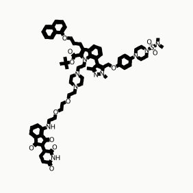 Cc1nn(C)c(COc2ccc(N3CCN(S(=O)(=O)N(C)C)CC3)cc2)c1-c1cccc2c(CCCOc3cccc4ccccc34)c(C(=O)OC(C)(C)C)n(CCN3CCN(CCOCCOCCNc4cccc5c4C(=O)C(C4CCC(=O)NC4=O)C5=O)CC3)c12